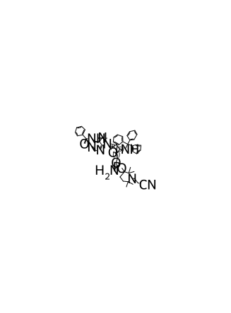 CC1(C)CCC(OP(N)OC[C@H]2O[C@@H](n3cnc4c(NC(=O)c5ccccc5)ncnc43)C[C@@H]2NC(c2ccccc2)(c2ccccc2)c2ccccc2)C(C)(C)N1CCC#N